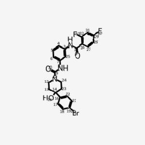 O=C(Nc1cccc(NC(=O)N2CCC(O)(c3ccc(Br)cc3)CC2)c1)c1ccc(F)cc1F